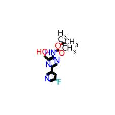 CC(C)(C)OC(=O)Nc1ncc(-c2cncc(F)c2)nc1CO